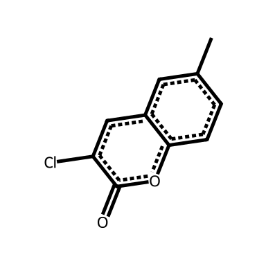 Cc1ccc2oc(=O)c(Cl)cc2c1